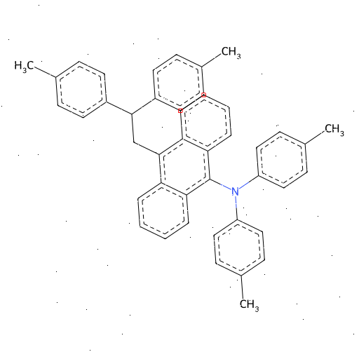 Cc1ccc(C(Cc2c3ccccc3c(N(c3ccc(C)cc3)c3ccc(C)cc3)c3ccccc23)c2ccc(C)cc2)cc1